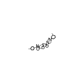 Cc1ccc(-c2nc(C[S+]([O-])CC(=O)N3CCN(c4cccc(C)c4)C(C)C3)c(C)o2)cc1